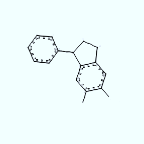 Cc1cc2c(cc1C)C(c1ccccc1)CC2